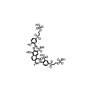 CNc1ccc2c(O)c(/N=N/c3cc(S(=O)(=O)CCOS(=O)(=O)O)ccc3OC)c(S(=O)(=O)O)cc2c1/N=N/c1ccc(S(=O)(=O)CCOS(=O)(=O)O)cc1S(=O)(=O)O